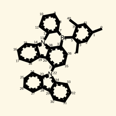 Cc1cc(C)c(B2c3ccccc3-n3c4ccccc4c4c(-n5c6ccccc6c6ccccc65)ccc2c43)c(C)c1